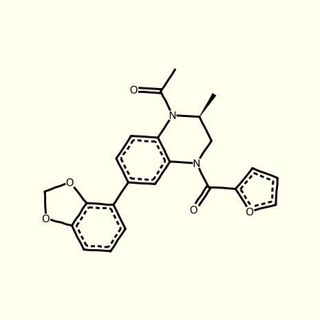 CC(=O)N1c2ccc(-c3cccc4c3OCO4)cc2N(C(=O)c2ccco2)C[C@@H]1C